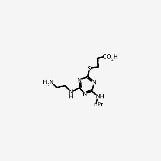 CCCNc1nc(NCCN)nc(SCCC(=O)O)n1